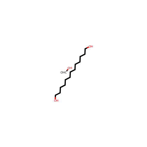 O=CO.OCCCCCCCCCCCCCO